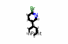 C/C=C\C(=C/CCCCC)c1ccc(Br)nc1